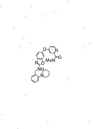 CNC(=O)c1cc(Oc2ccc3nc(NCc4ccccc4N4CCCCC4)oc3c2)ccn1